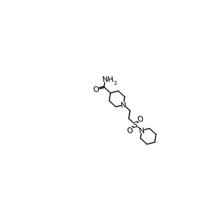 NC(=O)C1CCN(CCS(=O)(=O)N2CC[CH]CC2)CC1